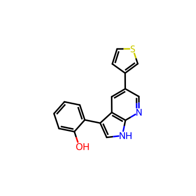 Oc1ccccc1-c1c[nH]c2ncc(-c3ccsc3)cc12